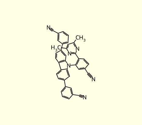 Cc1cc(C)nc(-c2ccc(C#N)cc2-n2c3cc(-c4cccc(C#N)c4)ccc3c3ccc(-c4cccc(C#N)c4)cc32)n1